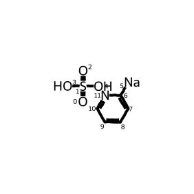 O=S(=O)(O)O.[Na][c]1ccccn1